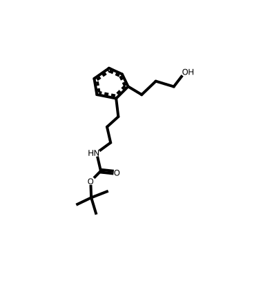 CC(C)(C)OC(=O)NCCCc1ccccc1CCCO